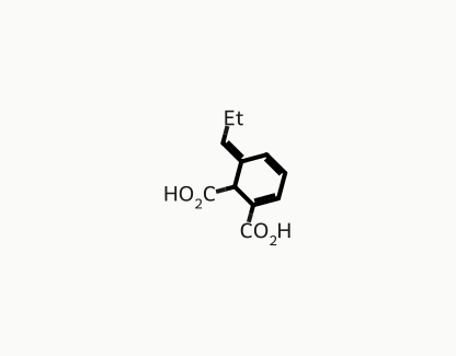 CCC=C1C=CC=C(C(=O)O)C1C(=O)O